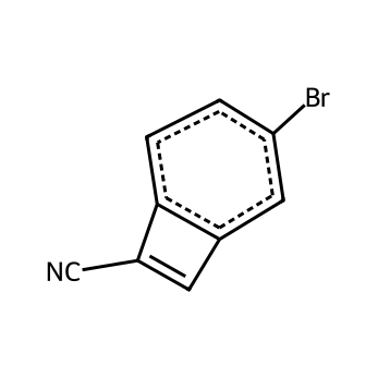 N#CC1=Cc2cc(Br)ccc21